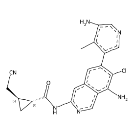 Cc1c(N)cncc1-c1cc2cc(NC(=O)[C@@H]3C[C@H]3CC#N)ncc2c(N)c1Cl